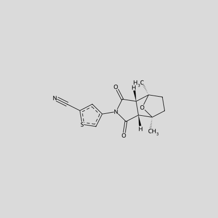 C[C@]12CC[C@](C)(O1)[C@@H]1C(=O)N(c3csc(C#N)c3)C(=O)[C@@H]12